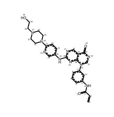 C=CC(=O)Nc1cccc(-n2cnc(=O)c3cnc(Nc4ccc(N5CCN(CCO)CC5)nc4)nc32)c1